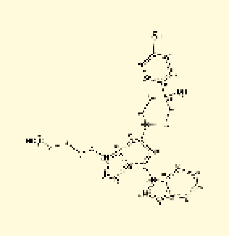 O=C(O)CCCCn1cnc2c(-n3ncc4ccccc43)nc(N3CCC(O)(c4ccc(O)cc4)CC3)nc21